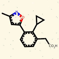 Cc1cc(-c2cccc(CC(=O)O)c2C2CC2)on1